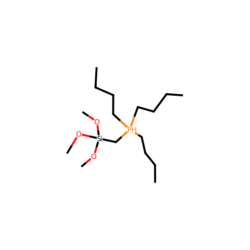 CCCC[PH](CCCC)(CCCC)C[Si](OC)(OC)OC